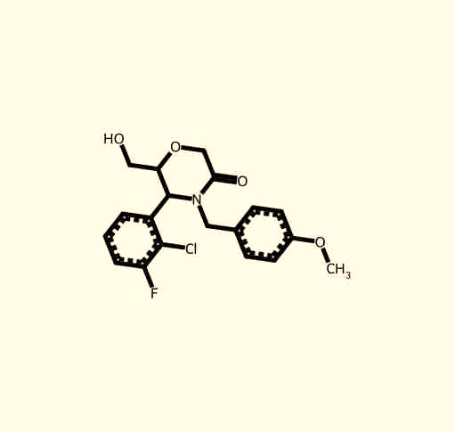 COc1ccc(CN2C(=O)COC(CO)C2c2cccc(F)c2Cl)cc1